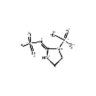 CS(=O)(=O)N=C1NCCN1P(=O)(O)S